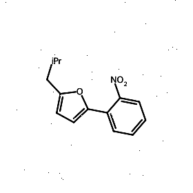 CC(C)Cc1ccc(-c2ccccc2[N+](=O)[O-])o1